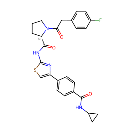 O=C(NC1CC1)c1ccc(-c2csc(NC(=O)[C@@H]3CCCN3C(=O)Cc3ccc(F)cc3)n2)cc1